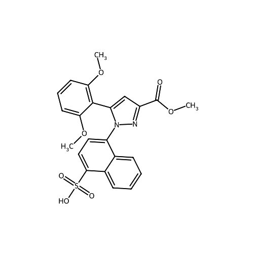 COC(=O)c1cc(-c2c(OC)cccc2OC)n(-c2ccc(S(=O)(=O)O)c3ccccc23)n1